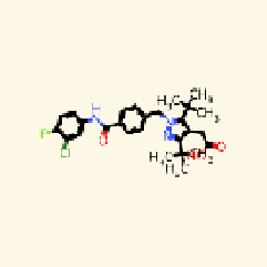 CC(C)(C)c1nn(Cc2ccc(C(=O)Nc3ccc(F)c(Cl)c3)cc2)c(C(C)(C)C)c1CC(=O)O